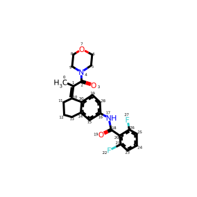 C/C(C(=O)N1CCOCC1)=C1\CCCc2cc(NC(=O)c3c(F)cccc3F)ccc21